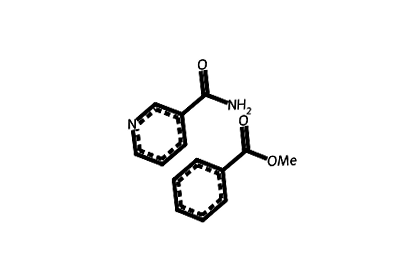 COC(=O)c1ccccc1.NC(=O)c1cccnc1